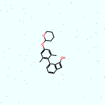 Cc1cc(OC2CCCCO2)cc(C)c1-c1cccc2c1C(O)=C2